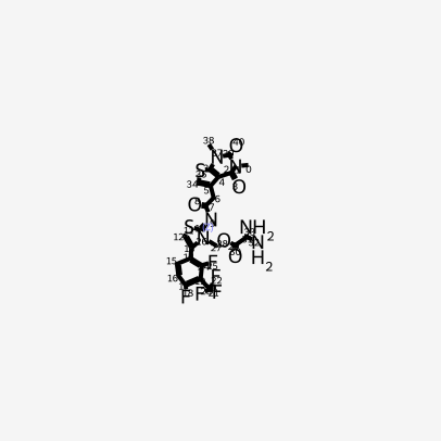 Cn1c(=O)c2c(CC(=O)/N=c3\scc(-c4ccc(F)c(C(F)(F)F)c4F)n3COC(=O)C(N)N)csc2n(C)c1=O